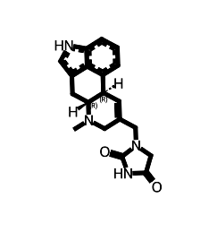 CN1CC(CN2CC(=O)NC2=O)=C[C@@H]2c3cccc4[nH]cc(c34)C[C@H]21